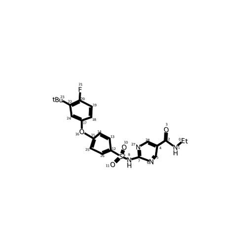 CCNC(=O)c1cnc(NS(=O)(=O)c2ccc(Oc3ccc(F)c(C(C)(C)C)c3)cc2)nc1